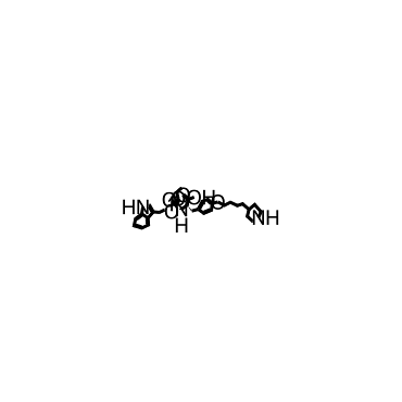 CCOP(=O)(N[C@@H](Cc1ccc(OCCCCC2CCNCC2)cc1)C(=O)O)OCCc1c[nH]c2ccccc12